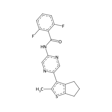 Cc1sc2c(c1-c1cnc(NC(=O)c3c(F)cccc3F)cn1)CCC2